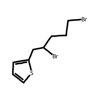 BrCCCC(Br)Cc1cccs1